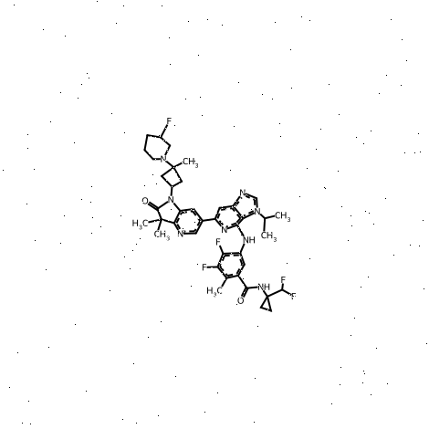 Cc1c(C(=O)NC2(C(F)F)CC2)cc(Nc2nc(-c3cnc4c(c3)N(C3CC(C)(N5CCCC(F)C5)C3)C(=O)C4(C)C)cc3ncn(C(C)C)c23)c(F)c1F